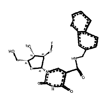 O=C(NCc1ccc2ccccc2c1)c1cn([C@@H]2O[C@H](CO)[C@H](O)[C@H]2OF)c(=O)[nH]c1=O